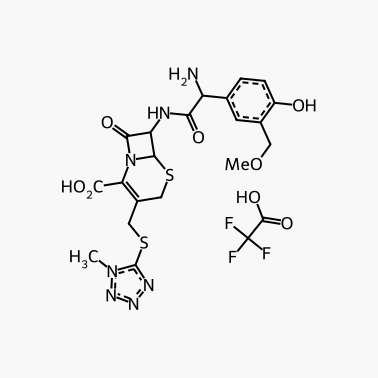 COCc1cc(C(N)C(=O)NC2C(=O)N3C(C(=O)O)=C(CSc4nnnn4C)CSC23)ccc1O.O=C(O)C(F)(F)F